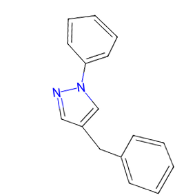 c1ccc(Cc2cnn(-c3ccccc3)c2)cc1